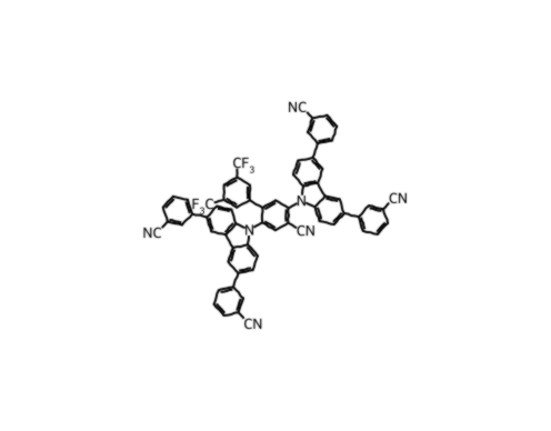 N#Cc1cccc(-c2ccc3c(c2)c2cc(-c4cccc(C#N)c4)ccc2n3-c2cc(-c3cc(C(F)(F)F)cc(C(F)(F)F)c3)c(-n3c4ccc(-c5cccc(C#N)c5)cc4c4cc(-c5cccc(C#N)c5)ccc43)cc2C#N)c1